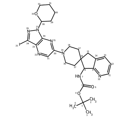 CC(C)(C)OC(=O)NC1c2ncccc2CC12CCN(c1cnc3c(I)nn(C4CCCCO4)c3n1)CC2